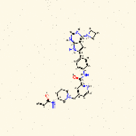 C=CC(=O)N[C@@H]1CCCN(Cc2ccnc(C(=O)Nc3ccc(-c4cc5c(N6CCC6)ncnc5[nH]4)cc3)c2)C1